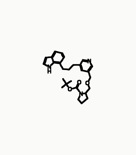 CC(C)(C)OC(=O)N1CCCC1COCc1cncc(CCCc2cccc3cc[nH]c23)c1